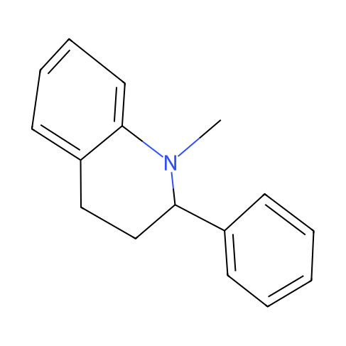 CN1c2ccccc2CCC1c1ccccc1